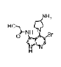 NC1CCN(c2c(Br)cnc3[nH]cc(NC(=O)CO)c23)C1